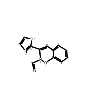 O=CN1Oc2ccccc2C=C1c1ncco1